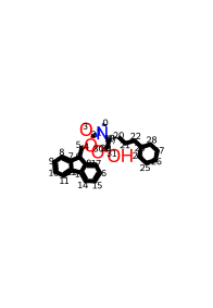 CN(C(=O)OCC1c2ccccc2-c2ccccc21)[C@H](CCCC1CCCCC1)C(=O)O